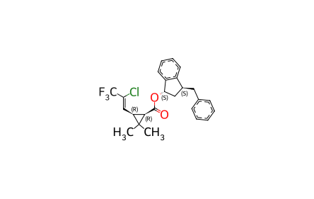 CC1(C)[C@H](C(=O)O[C@H]2C[C@H](Cc3ccccc3)c3ccccc32)[C@@H]1C=C(Cl)C(F)(F)F